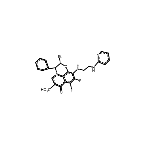 CC[C@H]1Oc2c(NCCNc3ccccn3)c(F)c(F)c3c(=O)c(C(=O)O)cn(c23)C1c1ccccc1